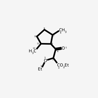 CCOC(=O)C(OCC)C(=O)C1C(C)CCC1C